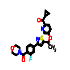 C[C@@H](Oc1ccc(C(=O)C2CC2)nc1)c1cc(-c2ccc(C(=O)N3CCOCC3)c(F)c2)ns1